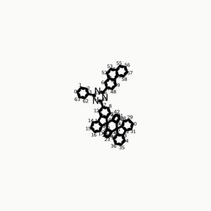 c1ccc(-c2nc(-c3ccc4c(c3)-c3ccccc3C43c4ccccc4C4(c5ccccc5-c5ccccc54)c4ccccc43)nc(-c3ccc4c(ccc5ccccc54)c3)n2)cc1